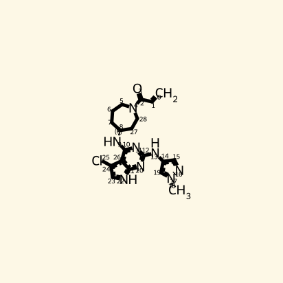 C=CC(=O)N1CCC[C@@H](Nc2nc(Nc3cnn(C)c3)nc3[nH]cc(Cl)c23)CC1